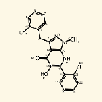 Cn1nc(Cc2ccccc2Cl)c2c(=O)c(O)c(-c3ccccc3Cl)[nH]c21